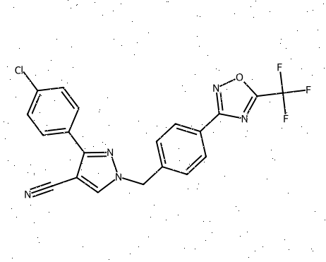 N#Cc1cn(Cc2ccc(-c3noc(C(F)(F)F)n3)cc2)nc1-c1ccc(Cl)cc1